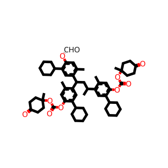 Cc1cc(OC(=O)OC2(C)CCC(=O)CC2)c(C2CCCCC2)cc1C(C)CC(c1cc(C2CCCCC2)c(OC=O)cc1C)c1cc(C2CCCCC2)c(OC(=O)OC2(C)CCC(=O)CC2)cc1C